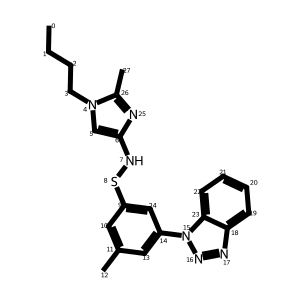 CCCCn1cc(NSc2cc(C)cc(-n3nnc4ccccc43)c2)nc1C